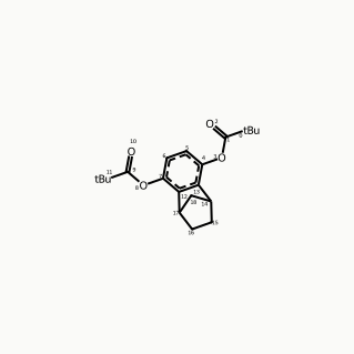 CC(C)(C)C(=O)Oc1ccc(OC(=O)C(C)(C)C)c2c1C1CCC2C1